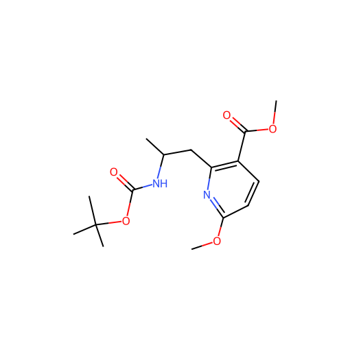 COC(=O)c1ccc(OC)nc1CC(C)NC(=O)OC(C)(C)C